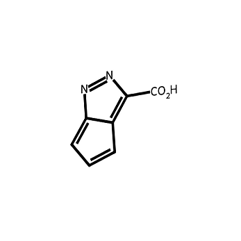 O=C(O)C1=C2C=CC=C2N=N1